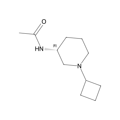 CC(=O)N[C@@H]1CCCN(C2CCC2)C1